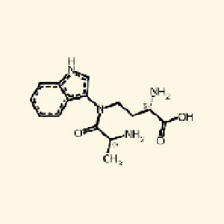 C[C@H](N)C(=O)N(CC[C@H](N)C(=O)O)c1c[nH]c2ccccc12